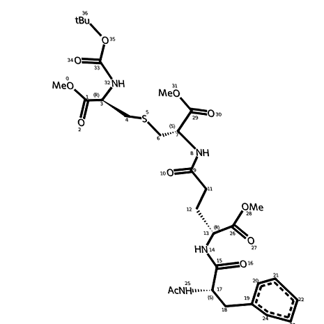 COC(=O)[C@H](CSC[C@@H](NC(=O)CC[C@@H](NC(=O)[C@H](Cc1ccccc1)NC(C)=O)C(=O)OC)C(=O)OC)NC(=O)OC(C)(C)C